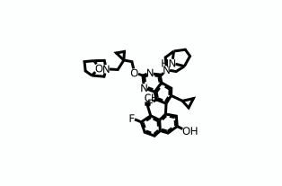 C#Cc1c(F)ccc2cc(O)cc(-c3c(C4CC4)cc4c(N5CC6CCC(C5)N6)nc(OCC5(CN6CC7CCC(C6)O7)CC5)nc4c3F)c12